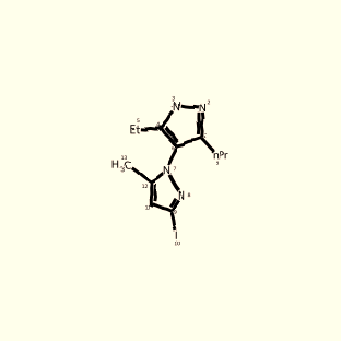 CCCC1=N[N]C(CC)=C1n1nc(I)cc1C